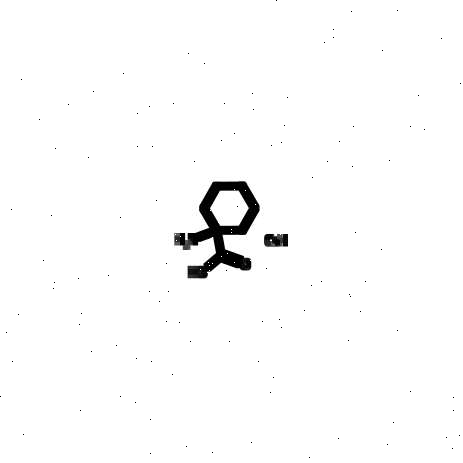 NC1(C(=O)O)CCCCC1.[CsH]